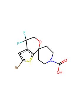 O=C(O)N1CCC2(CC1)OCC(F)(F)c1cc(Br)sc12